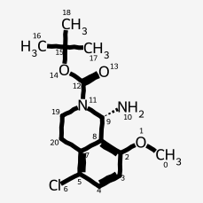 COc1ccc(Cl)c2c1[C@@H](N)N(C(=O)OC(C)(C)C)CC2